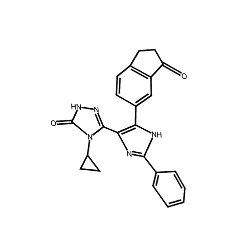 O=C1CCc2ccc(-c3[nH]c(-c4ccccc4)nc3-c3n[nH]c(=O)n3C3CC3)cc21